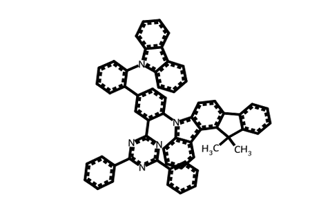 CC1(C)c2ccccc2-c2ccc3c(c21)c1ccccc1n3-c1ccc(-c2ccccc2-n2c3ccccc3c3ccccc32)cc1-c1nc(-c2ccccc2)nc(-c2ccccc2)n1